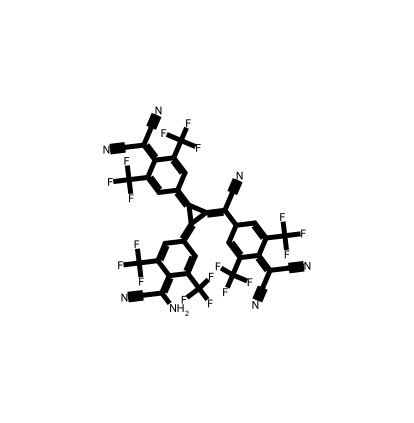 N#CC(C#N)=C1C(C(F)(F)F)=CC(/C(C#N)=C2\C(=c3cc(C(F)(F)F)c(=C(N)C#N)c(C(F)(F)F)c3)C2=c2cc(C(F)(F)F)c(=C(C#N)C#N)c(C(F)(F)F)c2)C=C1C(F)(F)F